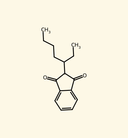 CCCCC(CC)[C]1C(=O)c2ccccc2C1=O